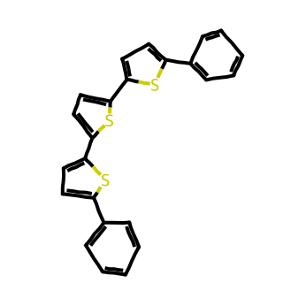 c1ccc(-c2ccc(-c3ccc(-c4ccc(-c5ccccc5)s4)s3)s2)cc1